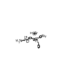 NCCCNC(=O)c1cccc(-c2cccc(CN(CCc3ccc(O)cc3)C(=O)CCCc3ccccc3)c2)c1.O=C(O)C(F)(F)F